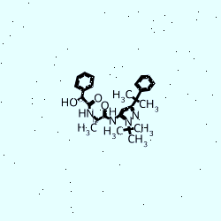 C[C@H](NC(=O)[C@@H](O)c1ccccc1)C(=O)Nc1cc(C(C)(C)c2ccccc2)nn1C(C)(C)C